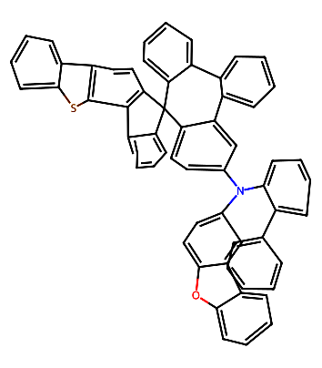 c1ccc(-c2ccccc2N(c2ccc3c(c2)-c2ccccc2-c2ccccc2C32c3ccccc3-c3c2ccc2c3sc3ccccc32)c2ccc3oc4ccccc4c3c2)cc1